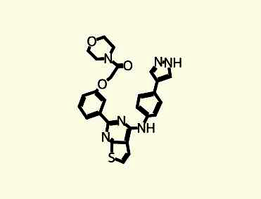 O=C(COc1cccc(-c2nc(Nc3ccc(-c4cn[nH]c4)cc3)c3ccsc3n2)c1)N1CCOCC1